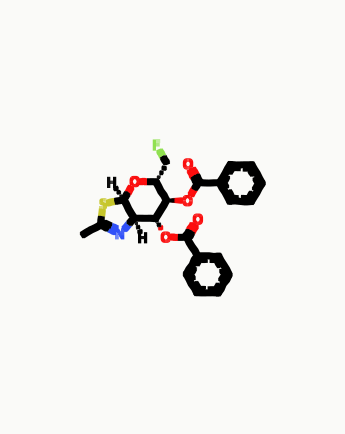 CC1=N[C@@H]2[C@@H](OC(=O)c3ccccc3)[C@H](OC(=O)c3ccccc3)[C@@H](CF)O[C@@H]2S1